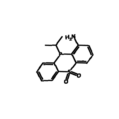 CC(C)P1c2ccccc2S(=O)(=O)c2cccc(N)c21